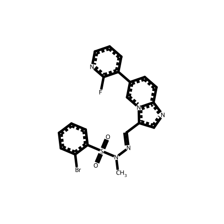 CN(N=Cc1cnc2ccc(-c3cccnc3F)cn12)S(=O)(=O)c1ccccc1Br